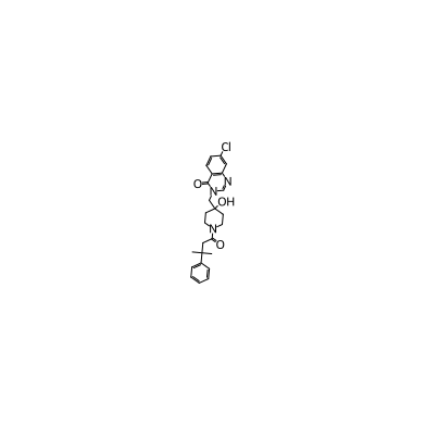 CC(C)(CC(=O)N1CCC(O)(Cn2cnc3cc(Cl)ccc3c2=O)CC1)c1ccccc1